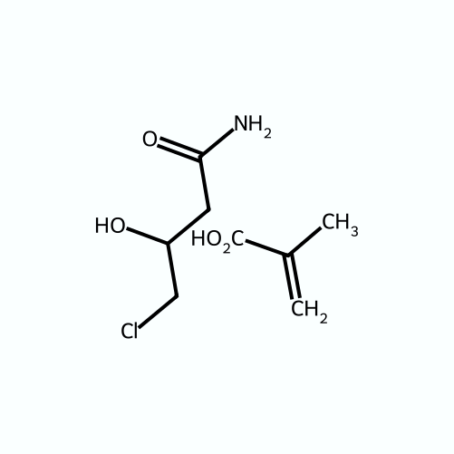 C=C(C)C(=O)O.NC(=O)CC(O)CCl